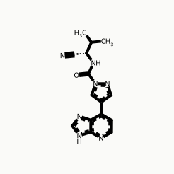 CC(C)[C@@H](C#N)NC(=O)n1cc(-c2ccnc3[nH]cnc23)cn1